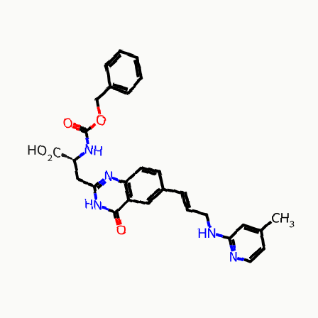 Cc1ccnc(NCC=Cc2ccc3nc(C[C@H](NC(=O)OCc4ccccc4)C(=O)O)[nH]c(=O)c3c2)c1